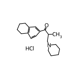 CC(CN1CCCCC1)C(=O)c1ccc2c(c1)CCCC2.Cl